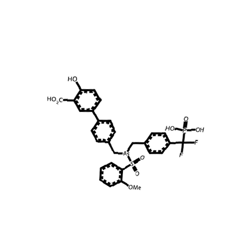 COc1ccccc1S(=O)(=O)[As](Cc1ccc(-c2ccc(O)c(C(=O)O)c2)cc1)Cc1ccc(C(F)(F)P(=O)(O)O)cc1